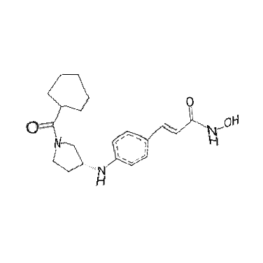 O=C(/C=C/c1ccc(N[C@@H]2CCN(C(=O)C3CCCCC3)C2)cc1)NO